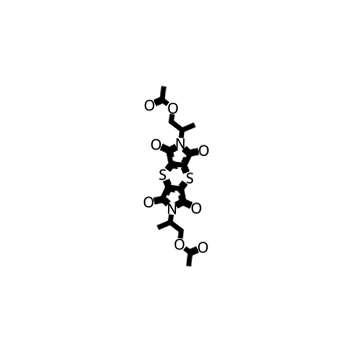 CC(=O)OCC(C)n1c(=O)c2sc3c(=O)n(C(C)COC(C)=O)c(=O)c3sc2c1=O